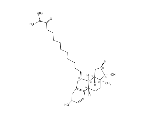 CCCCN(C)C(=O)CCCCCCCCCC[C@@H]1Cc2cc(O)ccc2[C@H]2CC[C@]3(C)[C@@H](O)[C@H](Br)C[C@H]3[C@H]12